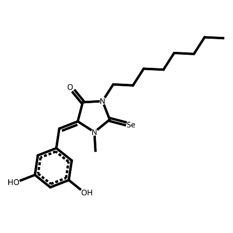 CCCCCCCCN1C(=O)C(=Cc2cc(O)cc(O)c2)N(C)C1=[Se]